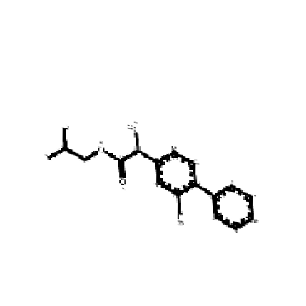 CC(C)COC(=O)C([11CH3])c1ccc(-c2ccccc2)c(F)c1